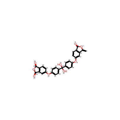 C=C1OC(=O)c2ccc(Oc3ccc(C(O)(O)c4ccc(Oc5ccc6c(c5)C(=O)OC6=O)cc4)cc3)cc21